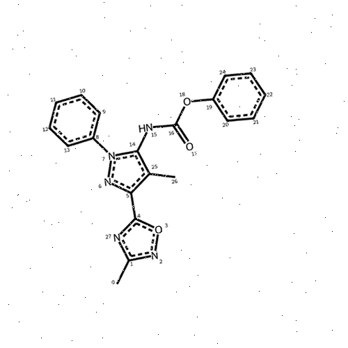 Cc1noc(-c2nn(-c3ccccc3)c(NC(=O)Oc3ccccc3)c2C)n1